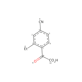 CCc1cc(C#N)ccc1C(=O)C(=O)O